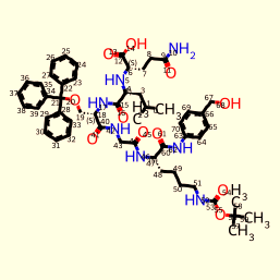 CC(C)C[C@H](N[C@@H](CCC(N)=O)C(=O)O)C(=O)N[C@@H](COC(c1ccccc1)(c1ccccc1)c1ccccc1)C(=O)NCC(=O)N[C@@H](CCCCNC(=O)OC(C)(C)C)C(=O)Nc1ccc(CO)cc1